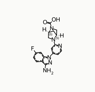 Nc1nn(-c2ccnc(N3C[C@@H]4C[C@H]3CN4C(=O)O)c2)c2cc(F)ccc12